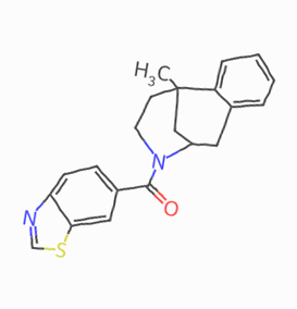 CC12CCN(C(=O)c3ccc4ncsc4c3)C(Cc3ccccc31)C2